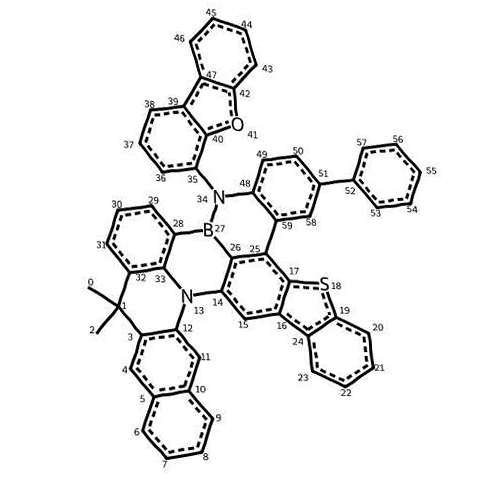 CC1(C)c2cc3ccccc3cc2N2c3cc4c(sc5ccccc54)c4c3B(c3cccc1c32)N(c1cccc2c1oc1ccccc12)c1ccc(-c2ccccc2)cc1-4